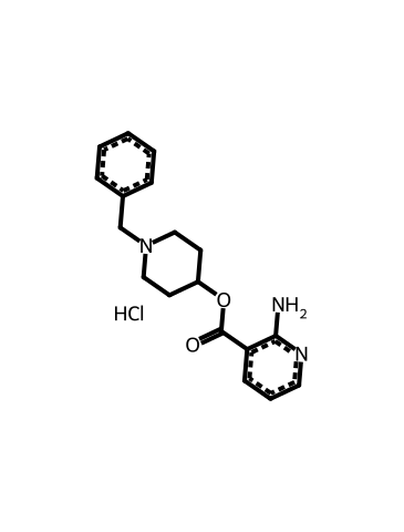 Cl.Nc1ncccc1C(=O)OC1CCN(Cc2ccccc2)CC1